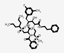 CCCC(CCC)S(=O)(=O)CC(NC(=O)c1cccnc1)C(=O)N[C@@H](Cc1cc(C)cc(F)c1)[C@@H](O)[C@@H](OCCS(C)(=O)=O)C(=O)NCCc1ccccc1